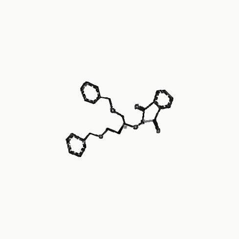 O=C1c2ccccc2C(=O)N1O[C@@H](CCOCc1ccccc1)COCc1ccccc1